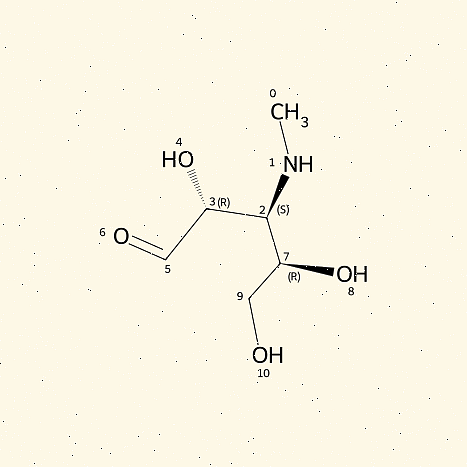 CN[C@H]([C@@H](O)C=O)[C@@H](O)CO